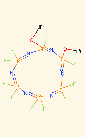 CC(C)OP1(F)=NP(F)(F)=NP(F)(F)=NP(F)(F)=NP(F)(F)=NP(F)(OC(C)C)=N1